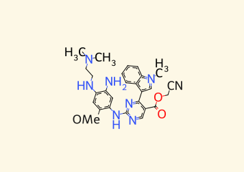 COc1cc(NCCN(C)C)c(N)cc1Nc1ncc(C(=O)OCC#N)c(-c2cn(C)c3ccccc23)n1